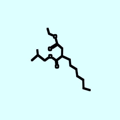 CCCCCCCC(CC(=O)OCC)C(=O)OCC(C)C